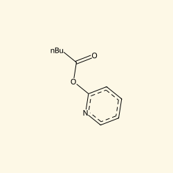 CCCCC(=O)Oc1ccccn1